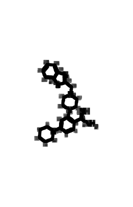 N=C(N)c1ccc(N2CCCCC2)cc1N1CCN(Cc2nc3ccccc3s2)CC1